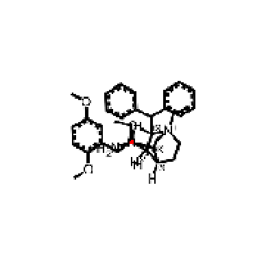 CCN(Cc1cc(OC)ccc1OC)[C@H]1[C@H]2CC[N+](CC)(C[C@@H]2C(N)=O)[C@H]1C(c1ccccc1)c1ccccc1